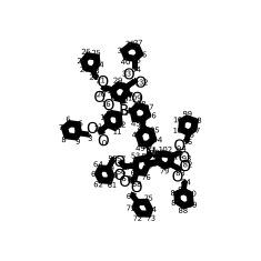 O=C(OCc1ccccc1)c1ccc2c(c1)Oc1c(C(=O)OCc3ccccc3)cc(C(=O)OCc3ccccc3)c3c1B2c1cc(-c2ccc(-n4c5cc(C(=O)OCc6ccccc6)c(C(=O)OCc6ccccc6)cc5c5cc(C(=O)OCc6ccccc6)c(C(=O)OCc6ccccc6)cc54)cc2)ccc1O3